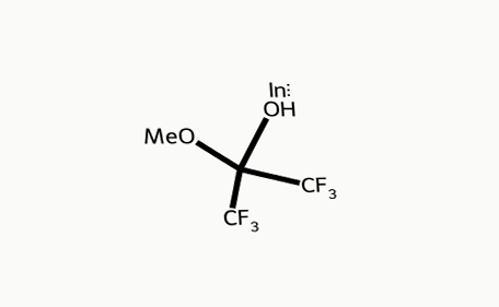 COC(O)(C(F)(F)F)C(F)(F)F.[In]